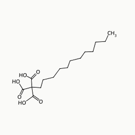 CCCCCCCCCCCCC(C(=O)O)(C(=O)O)C(=O)O